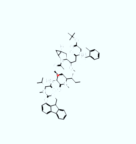 CC[C@H](C)C([C@@H](CC(=O)N1C2C[C@H]2C[C@H]1[C@H](OC)[C@@H](C)C(=O)N[C@@H](Cc1ccccc1Cl)C(=O)OC(C)(C)C)OC)N(C)C(=O)[C@@H](NC(=O)[C@H](C(C)C)N(C)C(=O)OCC1c2ccccc2-c2ccccc21)C(C)C